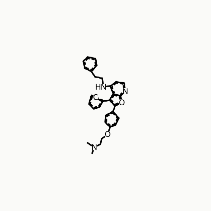 CN(C)CCOc1ccc(-c2oc3nccc(NCCc4ccccc4)c3c2-c2ccccc2)cc1